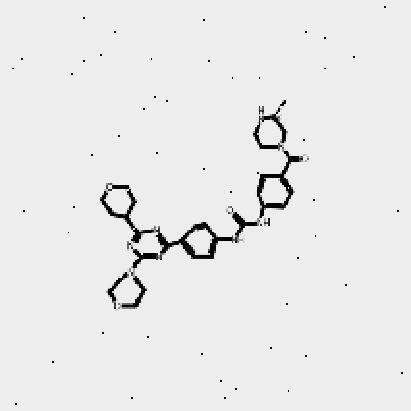 C[C@H]1CN(C(=O)c2ccc(NC(=O)Nc3ccc(-c4nc(C5CCOCC5)nc(N5CCOCC5)n4)cc3)cc2)CCN1